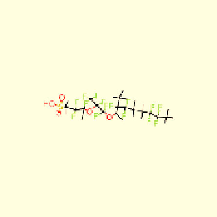 CC(OC(F)(F)C(F)(OC(C)(C)C(F)(F)C(C)(C)S(=O)(=O)O)C(F)(F)F)C(F)(C(C)(C)C)C(F)(F)C(C)(C)C(C)(C)C(F)(F)C(F)(F)C(C)(C)C